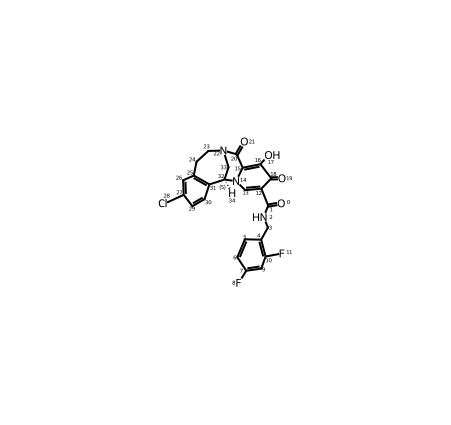 O=C(NCc1ccc(F)cc1F)c1cn2c(c(O)c1=O)C(=O)N1CCc3cc(Cl)ccc3[C@H]2C1